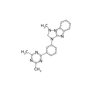 Cc1nc(C)nc(-c2cccc(N3CN(C)n4c3nc3ccccc34)c2)n1